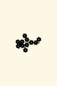 c1ccc(-c2ccc(N(c3ccc(-c4ccc5sc6ccccc6c5c4)cc3)c3ccc4c(c3)c3cc(C5(c6ccccc6)c6ccccc6-c6ccccc65)ccc3n4-c3ccccc3)cc2)cc1